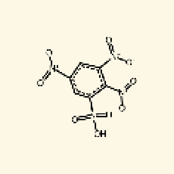 O=[N+]([O-])c1cc([N+](=O)[O-])c([N+](=O)[O-])c(S(=O)(=O)O)c1